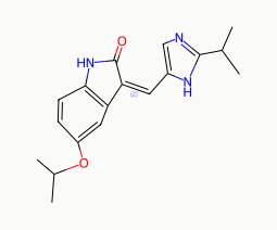 CC(C)Oc1ccc2c(c1)/C(=C/c1cnc(C(C)C)[nH]1)C(=O)N2